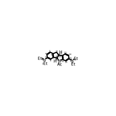 CCN(CC)c1ccc2c(c1)[C@H]1[C@@H](C2)c2ccc(N(CC)CC)cc2N1C(C)=O